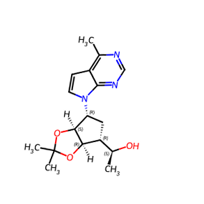 Cc1ncnc2c1ccn2[C@@H]1C[C@H]([C@H](C)O)[C@H]2OC(C)(C)O[C@H]21